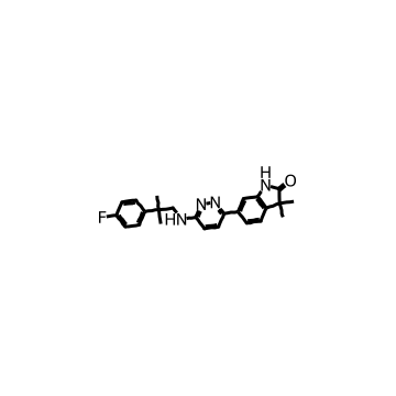 CC(C)(CNc1ccc(-c2ccc3c(c2)NC(=O)C3(C)C)nn1)c1ccc(F)cc1